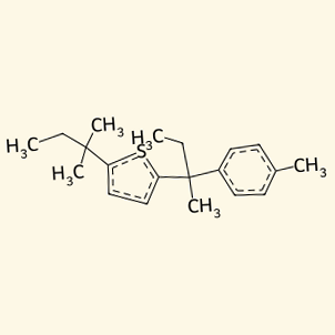 CCC(C)(C)c1ccc(C(C)(CC)c2ccc(C)cc2)s1